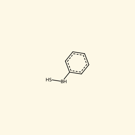 SBc1ccccc1